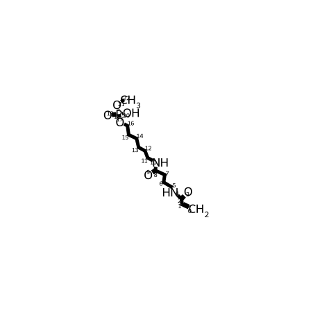 C=CC(=O)NCCCC(=O)NCCCCCCOP(=O)(O)OC